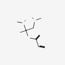 C=CC(=O)OC(C)(CN(F)F)N(F)F